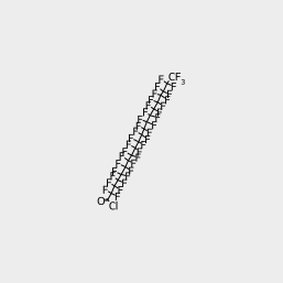 O=C(Cl)C(F)(F)C(F)(F)C(F)(F)C(F)(F)C(F)(F)C(F)(F)C(F)(F)C(F)(F)C(F)(F)C(F)(F)C(F)(F)C(F)(F)C(F)(F)C(F)(F)C(F)(F)C(F)(F)C(F)(F)C(F)(F)C(F)(F)F